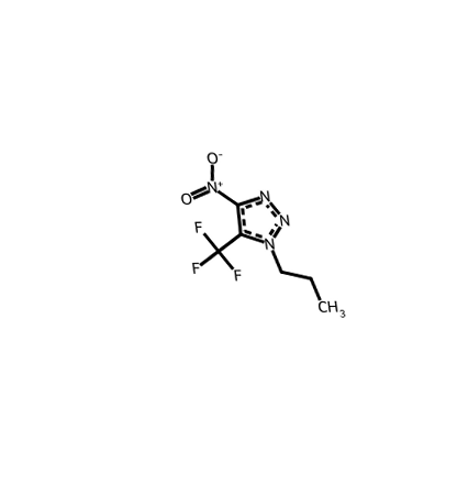 CCCn1nnc([N+](=O)[O-])c1C(F)(F)F